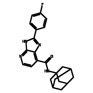 O=C(NC12CC3CC(CC(C3)C1)C2)c1ccnc2[nH]c(-c3ccc(F)cc3)nc12